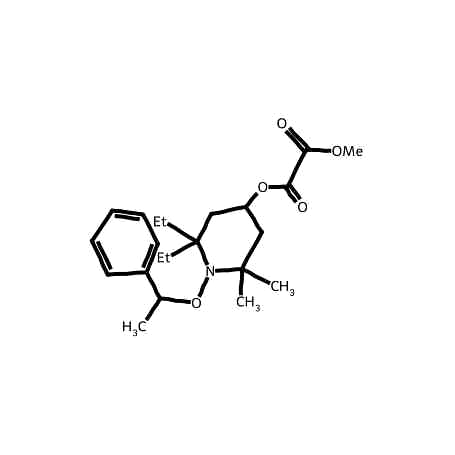 CCC1(CC)CC(OC(=O)C(=O)OC)CC(C)(C)N1OC(C)c1ccccc1